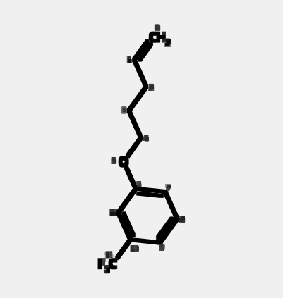 C=CCCCOc1cccc(C(F)(F)F)c1